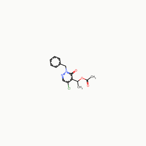 CC(=O)OC(C)c1c(Cl)cnn(Cc2ccccc2)c1=O